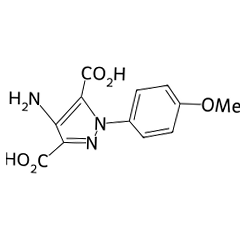 COc1ccc(-n2nc(C(=O)O)c(N)c2C(=O)O)cc1